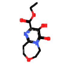 CCOC(=O)c1nc2n(c(=O)c1O)CCOCC2